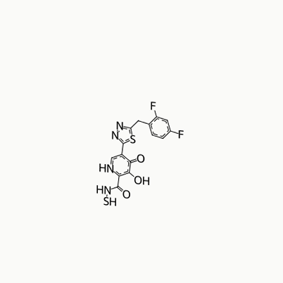 O=C(NS)c1[nH]cc(-c2nnc(Cc3ccc(F)cc3F)s2)c(=O)c1O